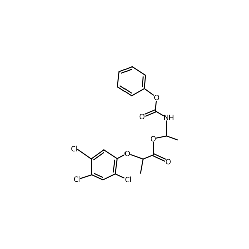 CC(NC(=O)Oc1ccccc1)OC(=O)C(C)Oc1cc(Cl)c(Cl)cc1Cl